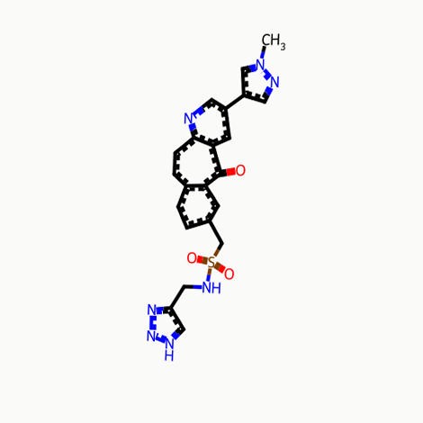 Cn1cc(-c2cnc3ccc4ccc(CS(=O)(=O)NCc5c[nH]nn5)cc4c(=O)c3c2)cn1